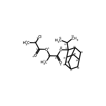 CC(Cl)C(=O)OC(C)C(=O)OC1(C(C)C)C2CC3CC(C2)CC1C3